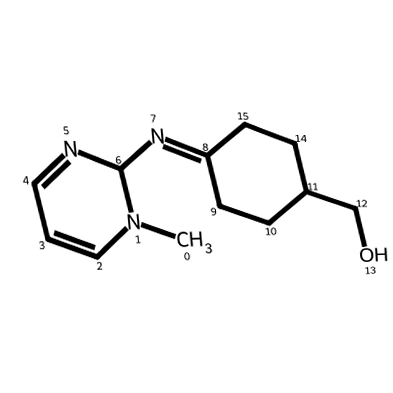 CN1C=CC=NC1N=C1CCC(CO)CC1